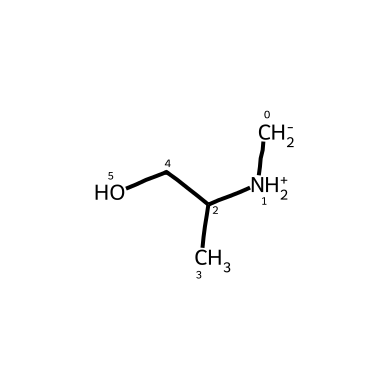 [CH2-][NH2+]C(C)CO